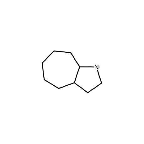 C1CCC2CC[N]C2CC1